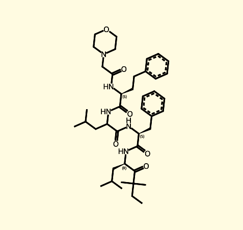 CCC(C)(C)C(=O)[C@@H](CC(C)C)NC(=O)[C@H](Cc1ccccc1)NC(=O)C(CC(C)C)NC(=O)[C@H](CCc1ccccc1)NC(=O)CN1CCOCC1